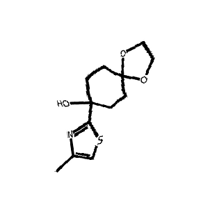 Cc1csc(C2(O)CCC3(CC2)OCCO3)n1